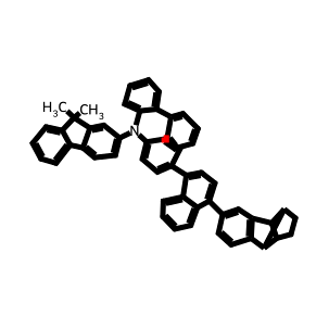 CC1(C)c2ccccc2-c2ccc(N(c3ccc(-c4ccc(-c5ccc6c(c5)C5C7CCC5C67)c5ccccc45)cc3)c3ccccc3-c3ccccc3)cc21